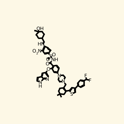 CC1(C)CCC(CN2CCN(c3ccc(C(=O)NS(=O)(=O)c4ccc(NCC5CCC(C)(O)CC5)c([N+](=O)[O-])c4)c(Oc4cnc5[nH]ccc5c4)c3)CC2)=C(c2cc(-c3ccc(C(F)F)cc3)cs2)C1